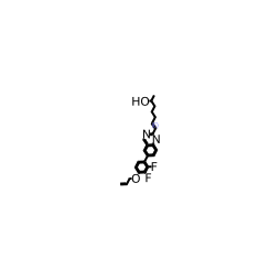 C=CCOc1ccc(-c2ccc3nc(/C=C/CCCC(C)O)ncc3c2)c(F)c1F